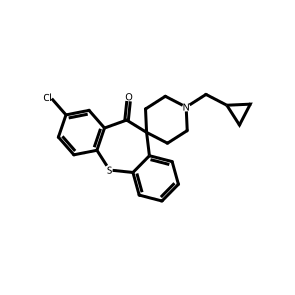 O=C1c2cc(Cl)ccc2Sc2ccccc2C12CCN(CC1CC1)CC2